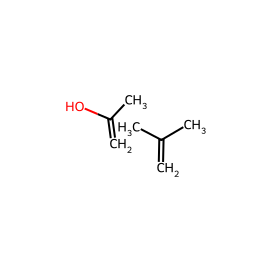 C=C(C)C.C=C(C)O